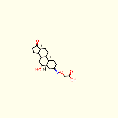 C[C@]12CCC3C(C[C@@H](O)[C@H]4C/C(=N/OCC(=O)O)CC[C@]34C)C1CCC2=O